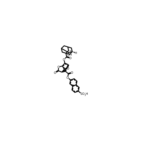 O=C1Oc2c(OC(=O)C34CC5CC(C3)C(O)[C@H](C5)C4)c3oc2c1c3C(=O)Oc1ccc2cc(S(=O)(=O)O)ccc2c1